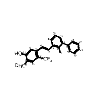 Cc1c(/C=C/c2cc(O)c(C=O)cc2C(F)(F)F)cccc1-c1ccccc1